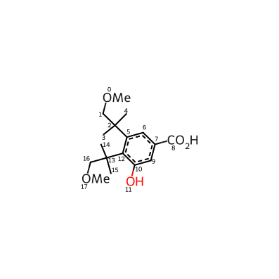 COCC(C)(C)c1cc(C(=O)O)cc(O)c1C(C)(C)COC